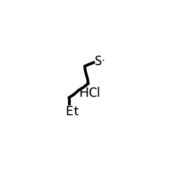 CCCCC[S].Cl